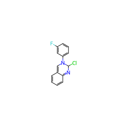 Fc1cccc(N2C=c3ccccc3=NC2Cl)c1